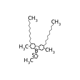 CCCCCCCCCCc1cc2c(cc1C)B(c1ccc(C)s1)c1cc(C)c(CCCCCCCCCC)cc1-2